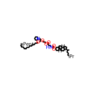 CCCCC/C=C\C/C=C\CCCCCCCCOCC(CN1CCCCC1)OCCOC(=O)CCNC(=O)OC1CCC2(C)C(=CCC3[C@@H]2CC[C@]2(C)C(C(C)CCCC(C)C)CC[C@@H]32)C1